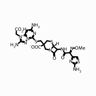 CON=C(C(=O)NC1C(=O)N2CC(CSc3nc(N)cc4n3nc(N)[n+]4CC(=O)O)(C(=O)[O-])CS[C@H]12)c1csc(N)n1